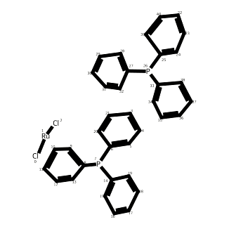 [Cl][Ru][Cl].c1ccc(P(c2ccccc2)c2ccccc2)cc1.c1ccc(P(c2ccccc2)c2ccccc2)cc1